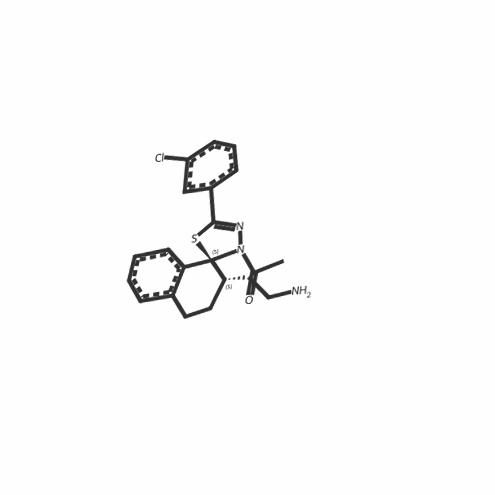 CC(=O)N1N=C(c2cccc(Cl)c2)S[C@@]12c1ccccc1CC[C@H]2CCN